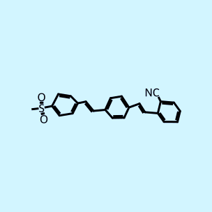 CS(=O)(=O)c1ccc(C=Cc2ccc(C=Cc3ccccc3C#N)cc2)cc1